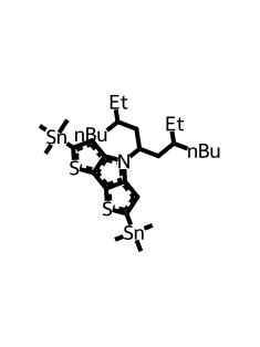 CCCCC(CC)CC(CC(CC)CCCC)n1c2c[c]([Sn]([CH3])([CH3])[CH3])sc2c2s[c]([Sn]([CH3])([CH3])[CH3])cc21